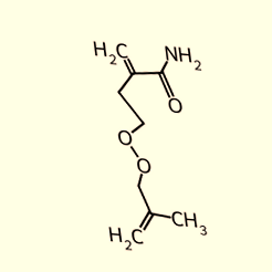 C=C(C)COOCCC(=C)C(N)=O